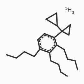 CCCCc1ccc(C2(C3CC3)CC2)c(CCCC)c1CCCC.P